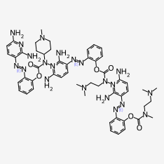 CN(C)CCN(C)C(=O)Oc1ccccc1/N=N/c1ccc(N)[n+](N(CCN(C)C)C(=O)Oc2ccccc2/N=N/c2ccc(N)[n+](N(C(=O)Oc3ccccc3/N=N/c3ccc(N)nc3N)C3CCN(C)CC3)c2N)c1N